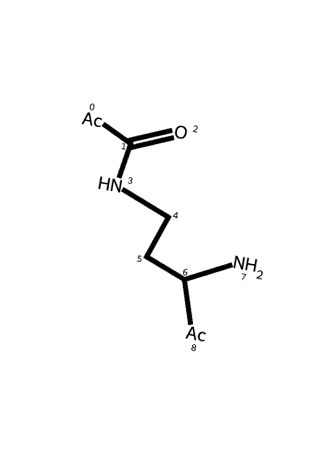 CC(=O)C(=O)NCCC(N)C(C)=O